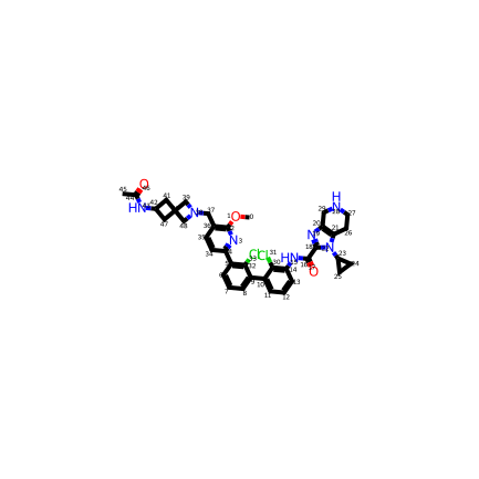 COc1nc(-c2cccc(-c3cccc(NC(=O)c4nc5c(n4C4CC4)CCNC5)c3Cl)c2Cl)ccc1CN1CC2(CC(NC(C)=O)C2)C1